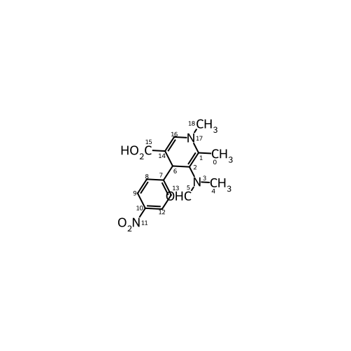 CC1=C(N(C)C=O)C(c2ccc([N+](=O)[O-])cc2)C(C(=O)O)=CN1C